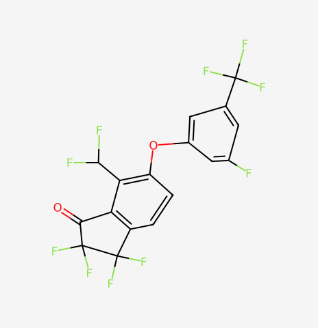 O=C1c2c(ccc(Oc3cc(F)cc(C(F)(F)F)c3)c2C(F)F)C(F)(F)C1(F)F